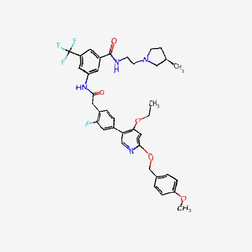 CCOc1cc(OCc2ccc(OC)cc2)ncc1-c1ccc(CC(=O)Nc2cc(C(=O)NCCN3CC[C@@H](C)C3)cc(C(F)(F)F)c2)c(F)c1